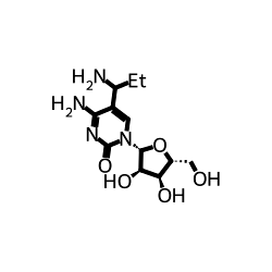 CCC(N)c1cn([C@@H]2O[C@H](CO)[C@@H](O)[C@H]2O)c(=O)nc1N